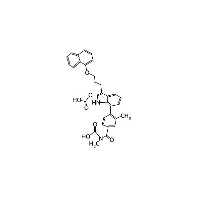 Cc1cc(C(=O)N(C)C(=O)O)ccc1-c1cccc2c(CCCOc3cccc4ccccc34)c(OC(=O)O)[nH]c12